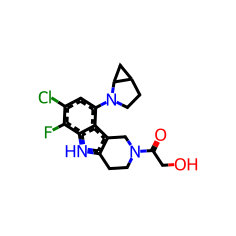 O=C(CO)N1CCc2[nH]c3c(F)c(Cl)cc(N4CCC5CC54)c3c2C1